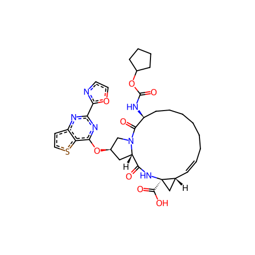 O=C(N[C@H]1CCCCCC/C=C\[C@@H]2C[C@@]2(C(=O)O)NC(=O)[C@@H]2C[C@@H](Oc3nc(-c4ncco4)nc4ccsc34)CN2C1=O)OC1CCCC1